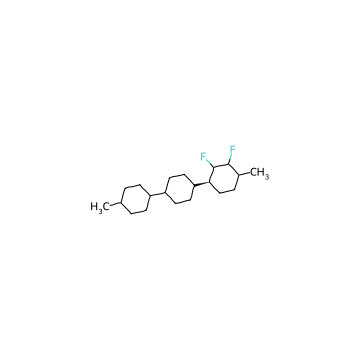 CC1CCC(C2CCC([C@@H]3CCC(C)C(F)C3F)CC2)CC1